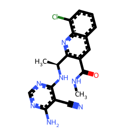 CNC(=O)c1cc2cccc(Cl)c2nc1[C@H](C)Nc1ncnc(N)c1C#N